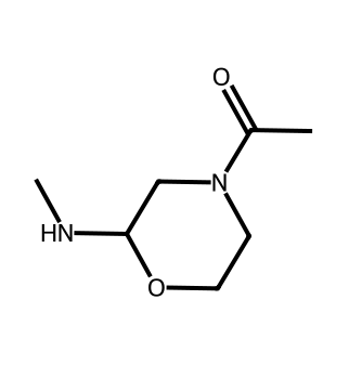 CNC1CN(C(C)=O)CCO1